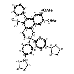 COc1cc2c3c(c4c(c2cc1OC)-c1ccccc1C4(C)C)C=CC(c1ccc(N2CCCC2)cc1)(c1ccc(N2CCCC2)cc1)O3